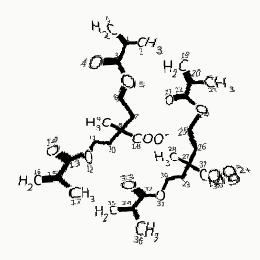 C=C(C)C(=O)OCCC(C)(CCOC(=O)C(=C)C)C(=O)[O-].C=C(C)C(=O)OCCC(C)(CCOC(=O)C(=C)C)C(=O)[O-].[Mg+2]